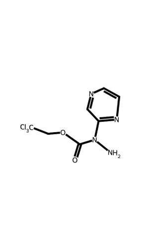 NN(C(=O)OCC(Cl)(Cl)Cl)c1cnccn1